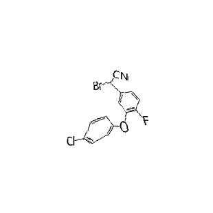 N#CC(Br)c1ccc(F)c(Oc2ccc(Cl)cc2)c1